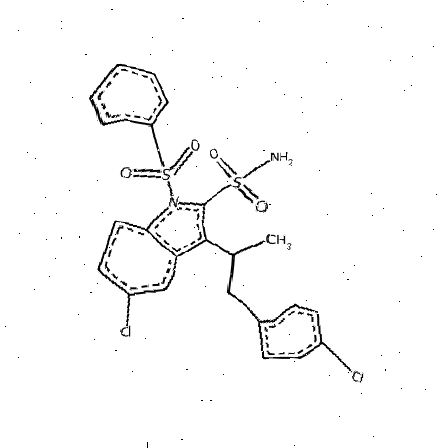 CC(Cc1ccc(Cl)cc1)c1c(S(N)(=O)=O)n(S(=O)(=O)c2ccccc2)c2ccc(Cl)cc12